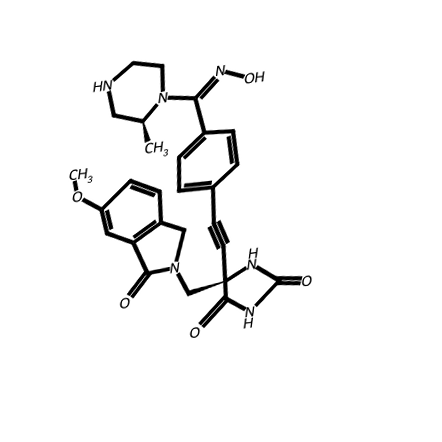 COc1ccc2c(c1)C(=O)N(C[C@@]1(C#Cc3ccc(/C(=N\O)N4CCNC[C@@H]4C)cc3)NC(=O)NC1=O)C2